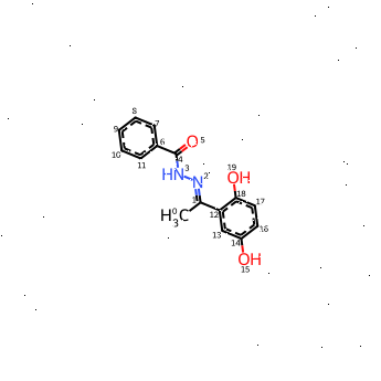 C/C(=N\NC(=O)c1ccccc1)c1cc(O)ccc1O